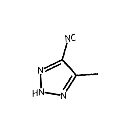 [C-]#[N+]c1n[nH]nc1C